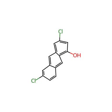 Oc1cc(Cl)cc2cc3cc(Cl)ccc3cc12